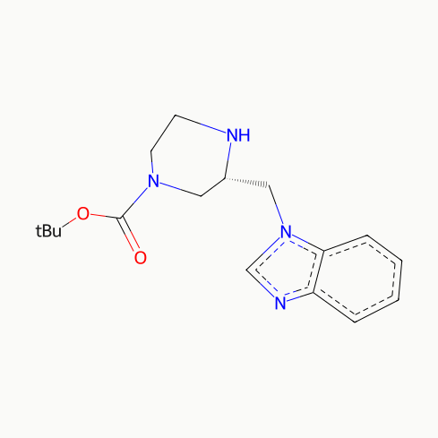 CC(C)(C)OC(=O)N1CCN[C@H](Cn2cnc3ccccc32)C1